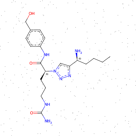 CCCC[C@H](N)c1cn([C@@H](CCCNC(N)=O)C(=O)Nc2ccc(CO)cc2)nn1